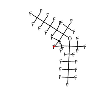 FC(F)(F)C(F)(F)C(F)(F)C(F)(I)C(OC(C(F)(F)F)(C(F)(F)F)C(F)(I)C(F)(F)C(F)(F)C(F)(F)F)(C(F)(F)F)C(F)(F)F